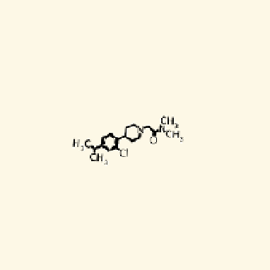 CC(C)c1ccc(C2CCN(CC(=O)N(C)C)CC2)c(Cl)c1